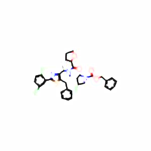 CC(C)(C)[C@H](c1nc(-c2cc(F)ccc2F)sc1Cc1ccccc1)N(C[C@@H]1CN(C(=O)OCc2ccccc2)C[C@@H]1F)C(=O)C1CCCO1